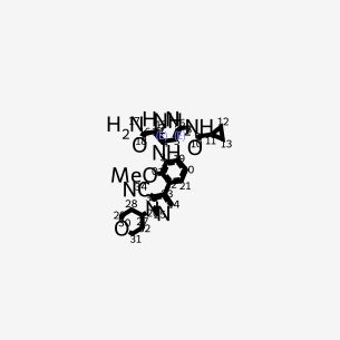 COc1c(NC(/C=C(\N)NC(=O)C2CC2)=C(/N)C(N)=O)cccc1-c1cnn(C2CCOCC2)c1C#N